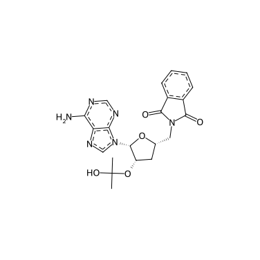 CC(C)(O)O[C@H]1C[C@@H](CN2C(=O)c3ccccc3C2=O)O[C@H]1n1cnc2c(N)ncnc21